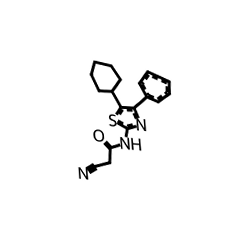 N#CCC(=O)Nc1nc(-c2ccccc2)c(C2CCCCC2)s1